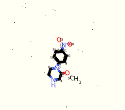 COC1CNCCN1c1ccc([N+](=O)[O-])cc1